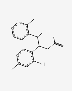 C=C(Cl)CC(c1ccc(Cl)cc1Cl)C(O)c1cccnc1C